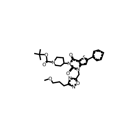 COCCCc1noc(Cn2c(=O)n(C3CCN(C(=O)OC(C)(C)C)CC3)c(=O)c3sc(-c4ccccc4)cc32)n1